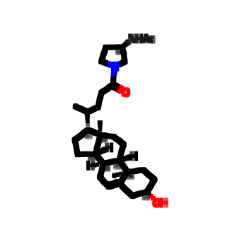 CC(=O)N[C@@H]1CCN(C(=O)CCC(C)[C@H]2CC[C@H]3[C@@H]4CC=C5C[C@@H](O)CC[C@]5(C)[C@H]4CC[C@]23C)C1